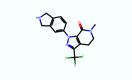 CN1CCc2c(C(F)(F)F)nn(-c3ccc4c(c3)CNC4)c2C1=O